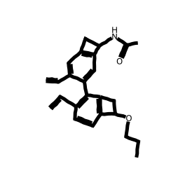 C=Cc1cc2c(cc1-c1c(C=C)ccc3c1CC3OCCC)C(NC(C)=O)C2